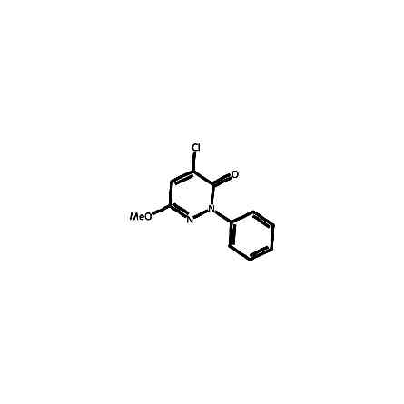 COc1cc(Cl)c(=O)n(-c2ccccc2)n1